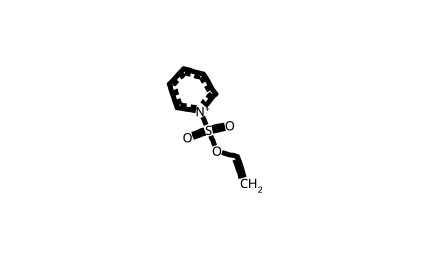 C=COS(=O)(=O)[n+]1ccccc1